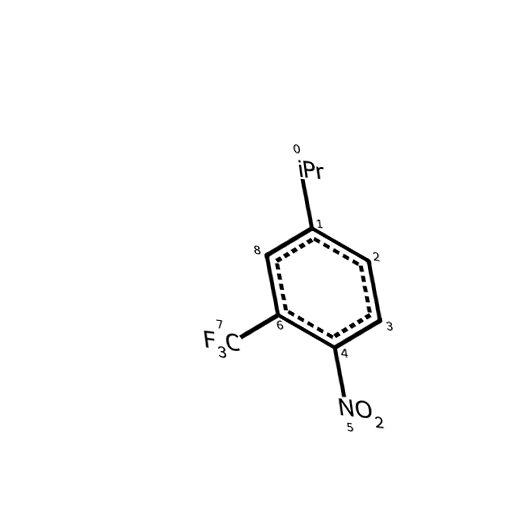 [CH2]C(C)c1ccc([N+](=O)[O-])c(C(F)(F)F)c1